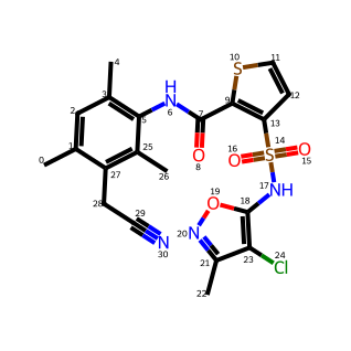 Cc1cc(C)c(NC(=O)c2sccc2S(=O)(=O)Nc2onc(C)c2Cl)c(C)c1CC#N